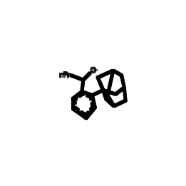 CCCC([O])c1ccccc1C12CC3CC(CC(C3)C1)C2